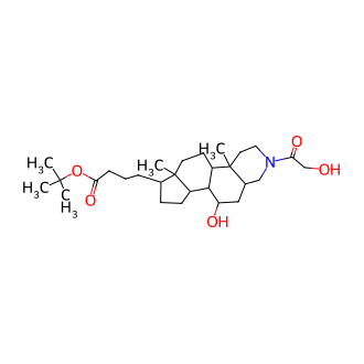 CC(C)(C)OC(=O)CCCC1CCC2C3C(O)CC4CN(C(=O)CO)CCC4(C)C3CCC12C